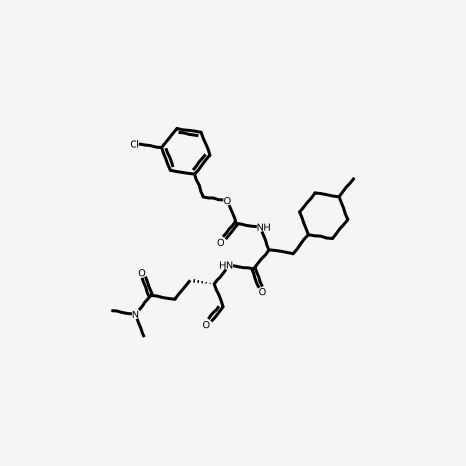 CC1CCC(CC(NC(=O)OCc2cccc(Cl)c2)C(=O)N[C@H](C=O)CCC(=O)N(C)C)CC1